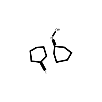 O=C1CCCCC1.ON=C1CCCCC1